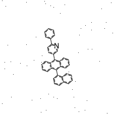 c1ccc(-c2ccc(-c3c4ccccc4c(-c4cccc5ccccc45)c4ccccc34)cn2)cc1